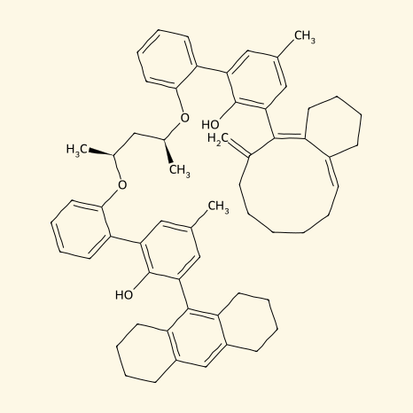 C=C1CCCCC/C=C2/CCCC/C2=C/1c1cc(C)cc(-c2ccccc2O[C@@H](C)C[C@H](C)Oc2ccccc2-c2cc(C)cc(-c3c4c(cc5c3CCCC5)CCCC4)c2O)c1O